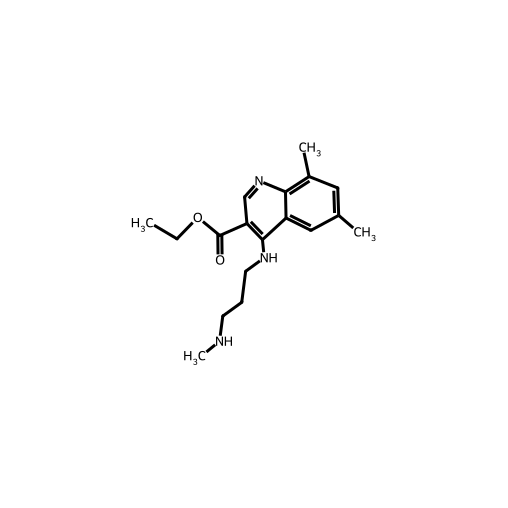 CCOC(=O)c1cnc2c(C)cc(C)cc2c1NCCCNC